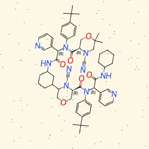 CC1(C)CN(C#N)[C@@H](C(=O)N(c2ccc(C(C)(C)C)cc2)[C@@H](C(=O)NC2CCCC(C3COC[C@H](C(=O)N(c4ccc(C(C)(C)C)cc4)[C@@H](C(=O)NC4CCCCC4)c4cccnc4)N3C#N)C2)c2cccnc2)CO1